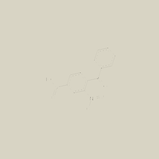 O=C(c1ccccc1)c1ccc(S(=O)O)cc1[N+](=O)[O-]